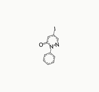 O=c1cc(I)cnn1-c1ccccc1